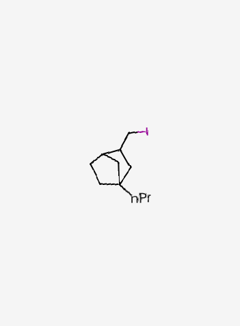 CCCC12CCC(C1)C(CI)C2